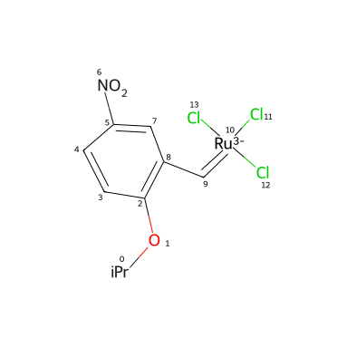 CC(C)Oc1ccc([N+](=O)[O-])cc1[CH]=[Ru-3]([Cl])([Cl])[Cl]